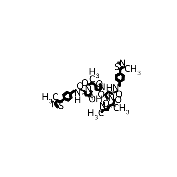 Cc1cc([C@H](C)C(=O)N2C[C@H](Oc3cc([C@@H](C)C(=O)N4C[C@H](O)C[C@H]4C(=O)NCc4ccc(-c5scnc5C)cc4)on3)C[C@H]2C(=O)NCc2ccc(-c3scnc3C)cc2)on1